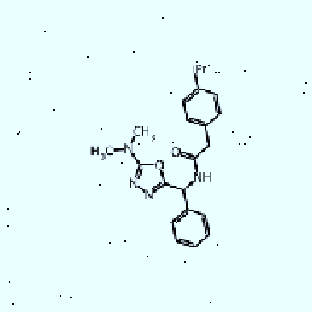 CC(C)c1ccc(CC(=O)N[C@@H](c2ccccc2)c2nnc(N(C)C)o2)cc1